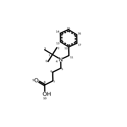 CC(C)(C)N(CCCC(=O)O)Cc1ccccc1